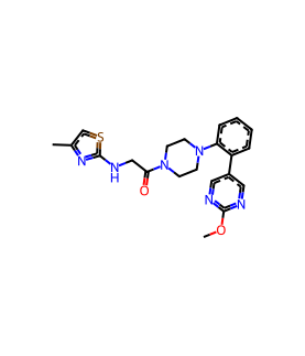 COc1ncc(-c2ccccc2N2CCN(C(=O)CNc3nc(C)cs3)CC2)cn1